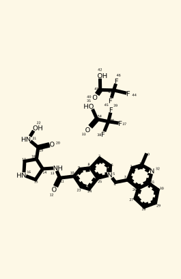 Cc1cc(Cn2ccc3cc(C(=O)NC4CNCC4C(=O)NO)ccc32)c2ccccc2n1.O=C(O)C(F)(F)F.O=C(O)C(F)(F)F